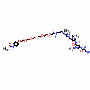 CNCCC(=O)Nc1cc(C(=O)Nc2cc(C(=O)NCCCN(C)CCCNC(=O)CCOCCOCCOCCOCCOCCOc3ccc(NC(C)=O)cc3)n(C)c2)n(C)c1